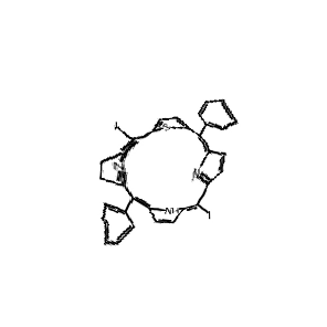 Ic1c2nc(c(-c3ccccc3)c3ccc(s3)c(I)c3nc(c(-c4ccccc4)c4ccc1[nH]4)CC3)C=C2